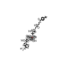 CC(C)(C)c1ccc(C(=O)SCCNC(=O)CCNC(=O)C(O)C(C)(C)COP(=O)(O)OP(=O)(O)OC[C@H]2O[C@@H](n3cnc4c(N)ncnc43)[C@H](O)[C@@H]2OP(=O)(O)O)cc1